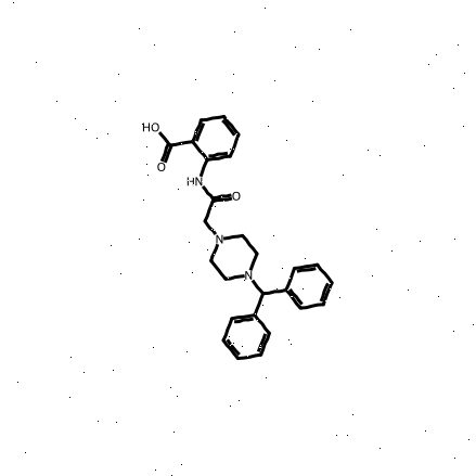 O=C(CN1CCN(C(c2ccccc2)c2ccccc2)CC1)Nc1ccccc1C(=O)O